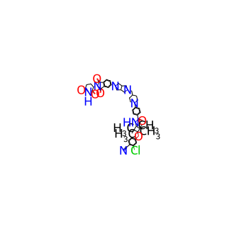 CC1(C)C(NC(=O)c2ccc(N3CCC(CN4CC5CN(c6ccc7c(c6)C(=O)N(C6CCC(=O)NC6=O)C7=O)CC5C4)CC3)cc2)C(C)(C)C1Oc1ccc(C#N)c(Cl)c1